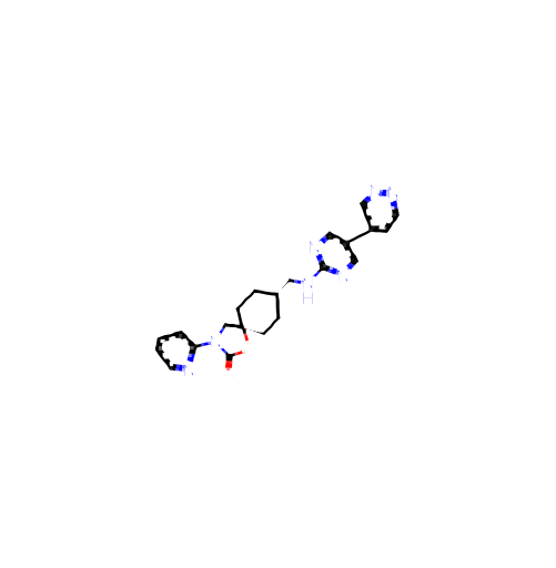 O=C1O[C@]2(CC[C@H](CNc3ncc(-c4ccnnc4)cn3)CC2)CN1c1ccccn1